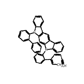 C#C/C=C\C(=C/C)c1ccccc1-n1c2ccccc2c2cc3c4ccccc4n(-c4ccccc4-c4ccccc4)c3cc21